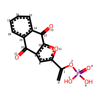 C=C(OP(=O)(O)O)c1cc2c(o1)C(=O)c1ccccc1C2=O